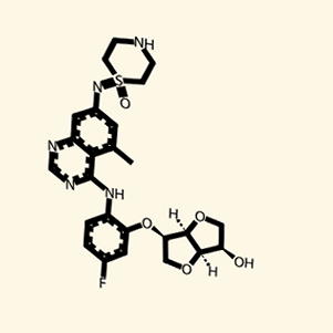 Cc1cc(N=S2(=O)CCNCC2)cc2ncnc(Nc3ccc(F)cc3O[C@@H]3CO[C@H]4[C@@H]3OC[C@H]4O)c12